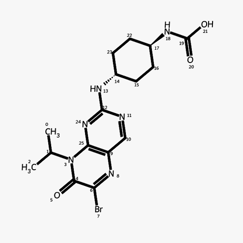 CC(C)n1c(=O)c(Br)nc2cnc(N[C@H]3CC[C@H](NC(=O)O)CC3)nc21